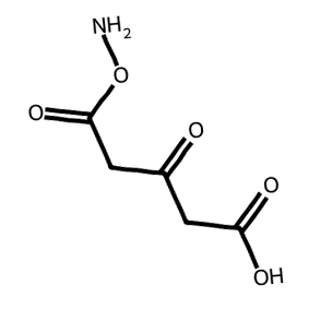 NOC(=O)CC(=O)CC(=O)O